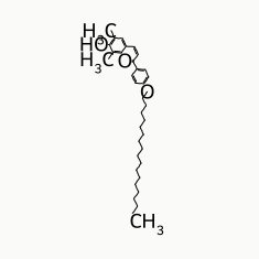 CCCCCCCCCCCCCCCCCCOc1ccc(C(=O)/C=C\c2cc(C)c(O)c(C)c2)cc1